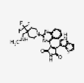 CNCC1(C(F)(F)F)CCN(c2nc(C3=C(c4c[nH]c5ccsc45)C(=O)NC3=O)c3ccccc3n2)CC1